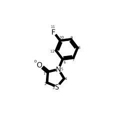 O=C1CSCN1c1cccc(F)c1